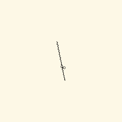 C=CCCCCCCCCC(=O)OC=CCCCCCCCCCCCCCCCCCC